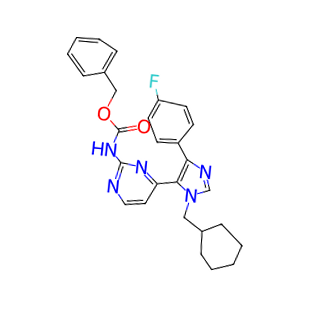 O=C(Nc1nccc(-c2c(-c3ccc(F)cc3)ncn2CC2CCCCC2)n1)OCc1ccccc1